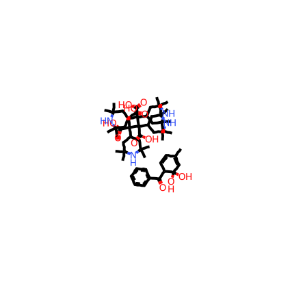 CC1(C)CC(C(CC(=O)O)(C(=O)O)C(C(=O)O)(C2CC(C)(C)NC(C)(C)C2)C(C(=O)O)(C2CC(C)(C)NC(C)(C)C2)C2CC(C)(C)NC(C)(C)C2)CC(C)(C)N1.CC1=CC(O)(O)C(C(=O)c2ccccc2)C=C1